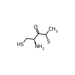 CC([S])C(=O)[C@@H](N)CS